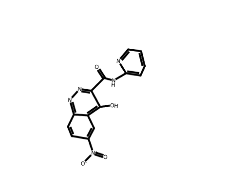 O=C(Nc1ccccn1)c1nnc2ccc([N+](=O)[O-])cc2c1O